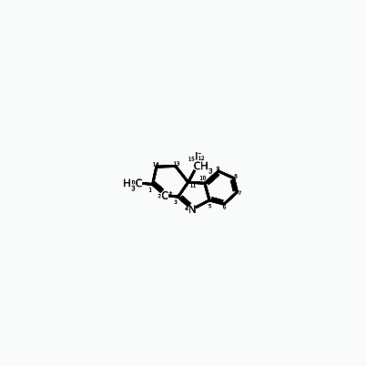 CC1=[C+]C2=Nc3ccccc3C2(C)CC1.[I-]